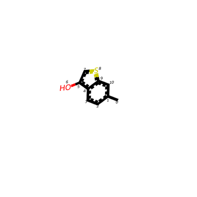 Cc1ccc2c(O)csc2c1